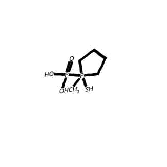 CP1(S)(P(=O)(O)O)CCCC1